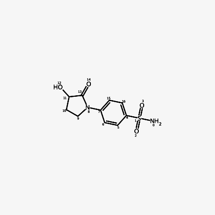 NS(=O)(=O)c1ccc(N2CCC(O)C2=O)cc1